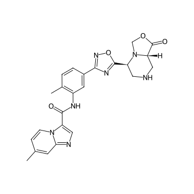 Cc1ccn2c(C(=O)Nc3cc(-c4noc([C@@H]5CNC[C@H]6C(=O)OCN65)n4)ccc3C)cnc2c1